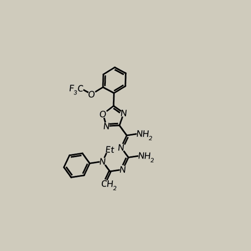 C=C(/N=C(N)\N=C(/N)c1noc(-c2ccccc2OC(F)(F)F)n1)N(CC)c1ccccc1